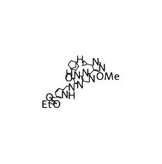 CCS(=O)(=O)c1ccc(CNc2nc3cnc(-c4c(OC)ncnc4C4CC4)nc3n([C@@H]3C[C@H]4CC[C@@H]3C4)c2=O)nc1